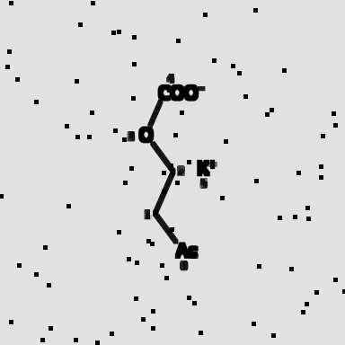 CC(=O)CCOC(=O)[O-].[K+]